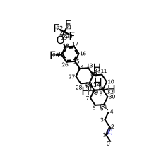 C/C=C/CC[C@@H]1CC[C@H]2[C@H](CC[C@H]3CC(c4ccc(OC(F)(F)F)c(F)c4)CC[C@@H]32)C1